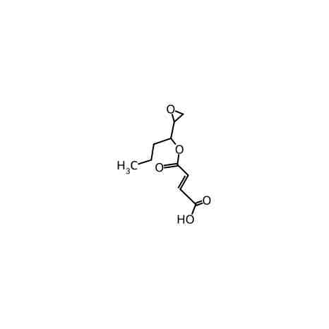 CCCC(OC(=O)/C=C/C(=O)O)C1CO1